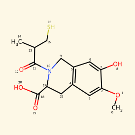 COc1cc2c(cc1O)CN(C(=O)C(C)CS)C(C(=O)O)C2